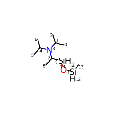 CC(C)N(C(C)C)C(C)[SiH2]O[SiH](C)C